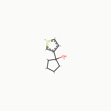 OC1(c2[c]scc2)CCCC1